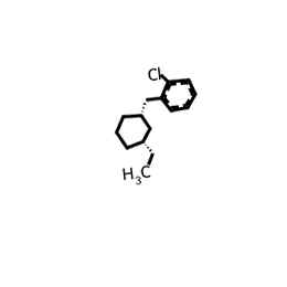 CC[C@@H]1CCC[C@H](Cc2ccccc2Cl)C1